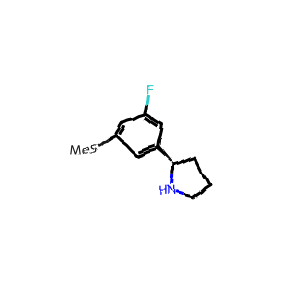 CSc1cc(F)cc([C@H]2CCCN2)c1